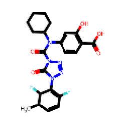 CC1C=CC(F)=C(n2nnn(C(=O)N(c3ccc(C(=O)O)c(O)c3)C3CCCCC3)c2=O)C1F